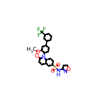 COc1cc(-c2cccc(C(F)(F)F)c2)ccc1-n1c(=O)ccc2cc(S(=O)(=O)Nc3ccon3)ccc21